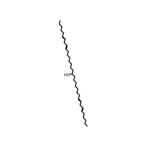 CCCCCC=CCC=CCCCCCCCC(O)CCCCCCCC=CCC=CCCCCC